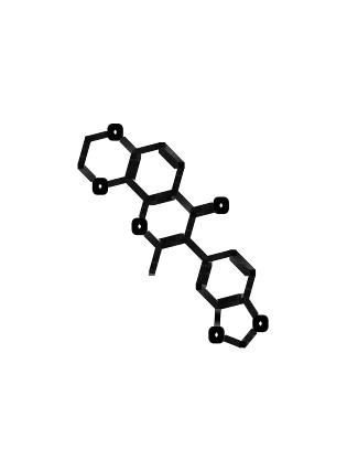 Cc1oc2c3c(ccc2c(=O)c1-c1ccc2c(c1)OCO2)OCCO3